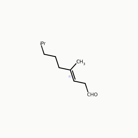 C/C(=C\CC=O)CCCC(C)C